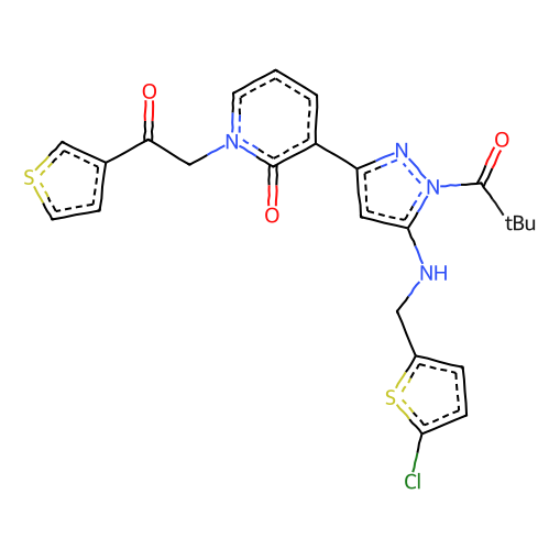 CC(C)(C)C(=O)n1nc(-c2cccn(CC(=O)c3ccsc3)c2=O)cc1NCc1ccc(Cl)s1